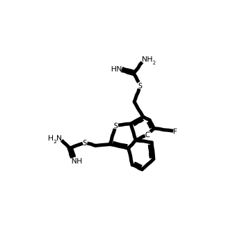 N=C(N)SCC1=C2SC(CSC(=N)N)=C3C=CC=CC32CC(F)=C1